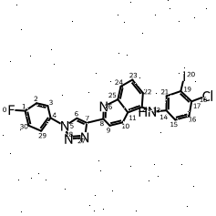 Fc1ccc(-n2cc(-c3ccc4c(Nc5ccc(Cl)c(I)c5)cccc4n3)nn2)cc1